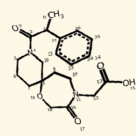 CC(C(=O)N1CCCC2(CCN(CC(=O)O)C(=O)CO2)C1)c1ccccc1